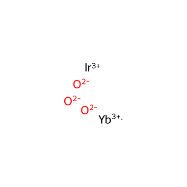 [Ir+3].[O-2].[O-2].[O-2].[Yb+3]